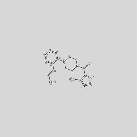 Cc1ncsc1C(=O)N1CCN(c2ccccc2/C=C/C=O)CC1